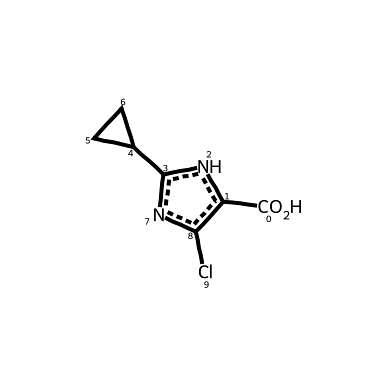 O=C(O)c1[nH]c(C2CC2)nc1Cl